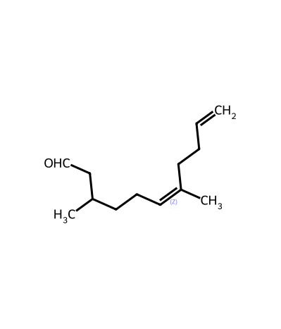 C=CCC/C(C)=C\CCC(C)CC=O